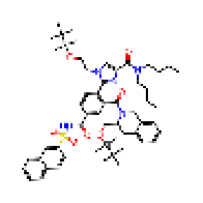 CCCCN(CCCC)C(=O)c1cn(CCO[Si](C)(C)C(C)(C)C)c(-c2ccc(C(=O)NS(=O)(=O)c3ccc4ccccc4c3)cc2C(=O)N2Cc3ccccc3CC2CO[Si](C)(C)C(C)(C)C)n1